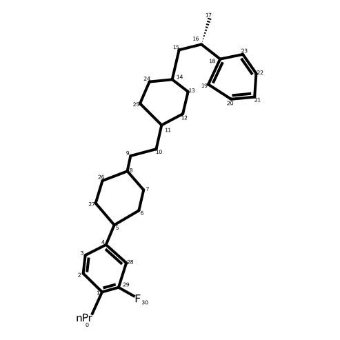 CCCc1ccc(C2CCC(CCC3CCC(C[C@H](C)c4ccccc4)CC3)CC2)cc1F